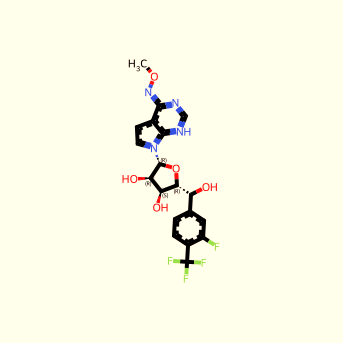 CON=c1nc[nH]c2c1ccn2[C@@H]1O[C@H](C(O)c2ccc(C(F)(F)F)c(F)c2)[C@@H](O)[C@H]1O